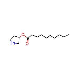 CCCCCCCCCC(=O)OC1C[CH]NC1